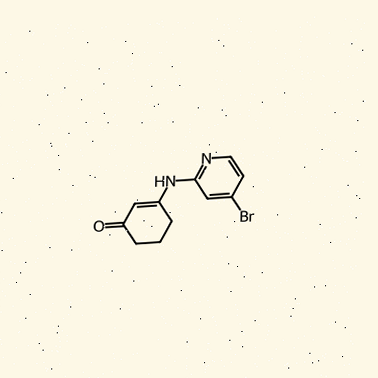 O=C1C=C(Nc2cc(Br)ccn2)CCC1